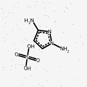 Nc1ccn(N)n1.O=S(=O)(O)O